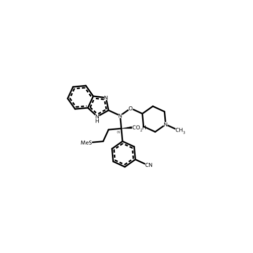 CSCC[C@@](C(=O)O)(c1cccc(C#N)c1)N(OC1CCN(C)CC1)c1nc2ccccc2[nH]1